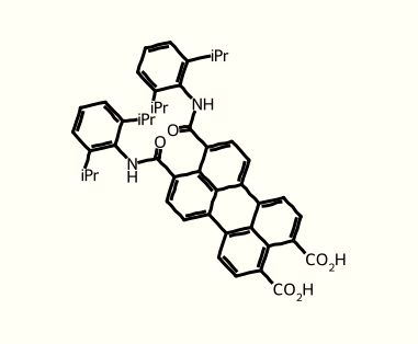 CC(C)c1cccc(C(C)C)c1NC(=O)c1ccc2c3ccc(C(=O)O)c4c(C(=O)O)ccc(c5ccc(C(=O)Nc6c(C(C)C)cccc6C(C)C)c1c25)c43